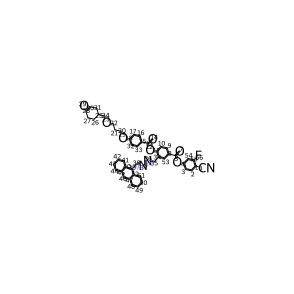 N#Cc1ccc(OC(=O)c2ccc(OC(=O)c3ccc(OCCCOCC4CCC5OC5C4)cc3)c(/C=N/N=C/c3c4ccccc4cc4ccccc34)c2)cc1F